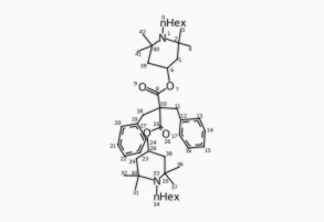 CCCCCCN1C(C)(C)CC(OC(=O)C(Cc2ccccc2)(Cc2ccccc2)C(=O)OC2CC(C)(C)N(CCCCCC)C(C)(C)C2)CC1(C)C